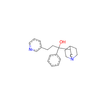 OC(CCc1cccnc1)(c1ccccc1)C1CN2CCC1CC2